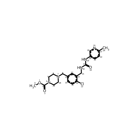 COC(=O)N1CCN(Cc2ccc(Cl)c(CNC(=O)Nc3ccc(C)nc3)c2)CC1